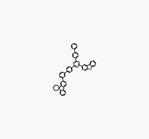 c1ccc(-c2ccc(-c3nc(-c4ccc(-c5cccc(-c6ccc7c(c6)C6(CCCCC6)c6ccccc6-7)c5)cc4)nc(-c4ccc5oc6ccccc6c5c4)n3)cc2)cc1